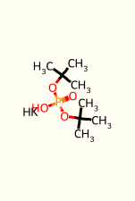 CC(C)(C)OP(=O)(O)OC(C)(C)C.[KH]